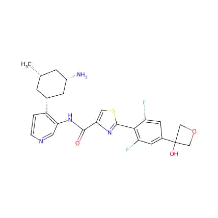 C[C@@H]1C[C@H](N)C[C@H](c2ccncc2NC(=O)c2csc(-c3c(F)cc(C4(O)COC4)cc3F)n2)C1